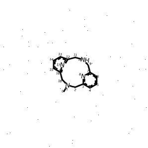 CN1Cc2cccc(n2)CNCc2cccc(n2)C1